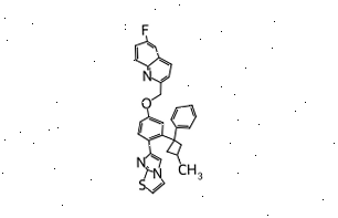 CC1CC(c2ccccc2)(c2cc(OCc3ccc4cc(F)ccc4n3)ccc2-c2cn3ccsc3n2)C1